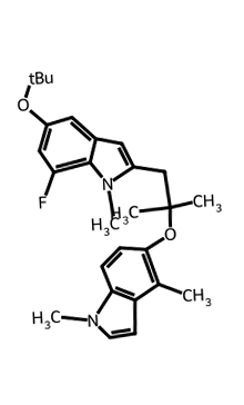 Cc1c(OC(C)(C)Cc2cc3cc(OC(C)(C)C)cc(F)c3n2C)ccc2c1ccn2C